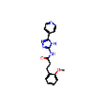 COc1ccccc1CCC(=O)Nc1nnc(-c2ccncc2)[nH]1